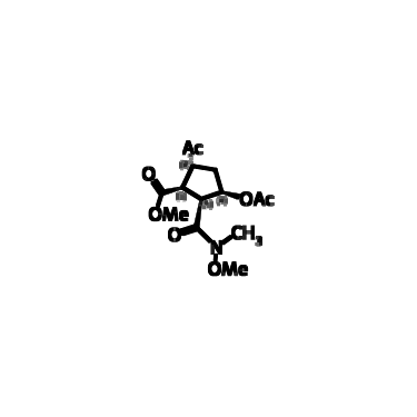 COC(=O)[C@@H]1[C@H](C(=O)N(C)OC)[C@H](OC(C)=O)C[C@H]1C(C)=O